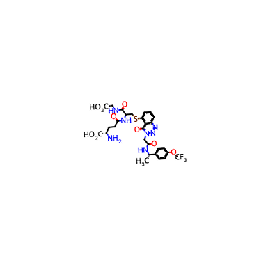 C[C@H](NC(=O)Cn1nnc2cccc(SCC(NC(=O)CC[C@H](N)C(=O)O)C(=O)NCC(=O)O)c2c1=O)c1ccc(OC(F)(F)F)cc1